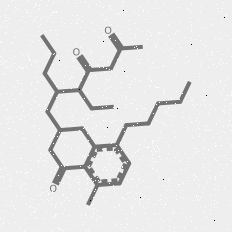 CCCCCc1ccc(C)c2c1CC(CC(CCC)C(CC)C(=O)CC(C)=O)CC2=O